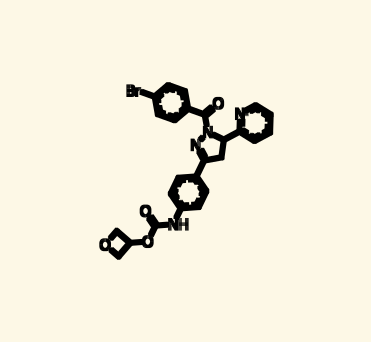 O=C(Nc1ccc(C2=NN(C(=O)c3ccc(Br)cc3)C(c3ccccn3)C2)cc1)OC1COC1